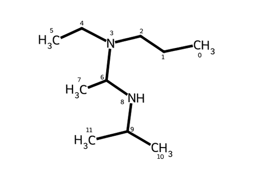 CCCN(CC)C(C)NC(C)C